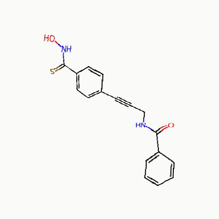 O=C(NCC#Cc1ccc(C(=S)NO)cc1)c1ccccc1